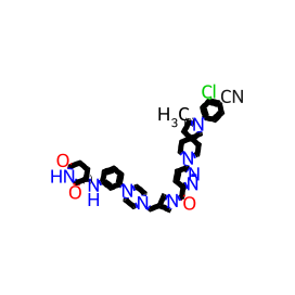 C[C@@H]1CC2(CCN(c3ccc(C(=O)N4CC(CN5CCN(c6cccc(N[C@H]7CCC(=O)NC7=O)c6)CC5)C4)nn3)CC2)CN1c1ccc(C#N)c(Cl)c1